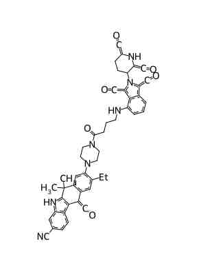 CCc1cc2c(cc1N1CCN(C(=O)CCCNc3cccc4c(=C=O)n(C5CCC(=C=O)NC5=C=O)c(=C=O)c34)CC1)C(C)(C)c1[nH]c3cc(C#N)ccc3c1C2=C=O